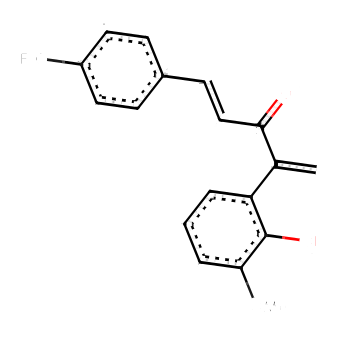 C=C(C(=O)/C=C/c1ccc(C(F)(F)F)cc1)c1cccc(OC)c1O